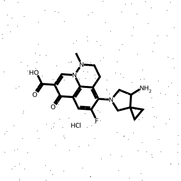 CN1CCc2c(N3CC(N)C4(CC4)C3)c(F)cc3c(=O)c(C(=O)O)cn1c23.Cl